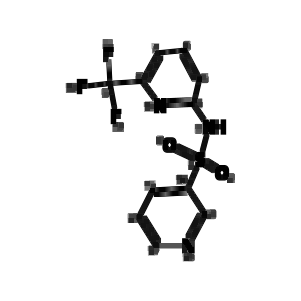 O=S(=O)(Nc1cccc(C(F)(F)F)n1)c1cccnc1